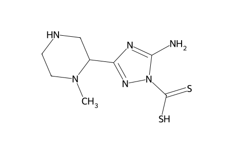 CN1CCNCC1c1nc(N)n(C(=S)S)n1